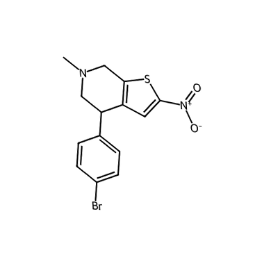 CN1Cc2sc([N+](=O)[O-])cc2C(c2ccc(Br)cc2)C1